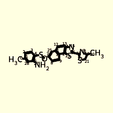 Cc1ccc(SOc2ccc3c(ccc4nc(C5=NC(C)CS5)sc43)c2)c(N)c1